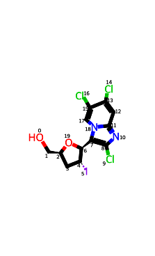 OC[C@@H]1C[C@@H](I)[C@H](c2c(Cl)nc3cc(Cl)c(Cl)cn23)O1